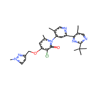 Cc1cnc(-c2nc(C(C)(C)C)ncc2C)cc1-n1c(C)cc(OCc2ccn(C)n2)c(Cl)c1=O